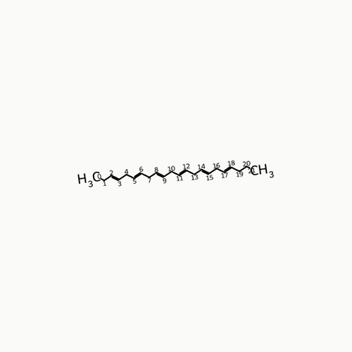 CC/C=C/C/C=C/C/C=C/C/C=C/C/C=C/C/C=C/CCC